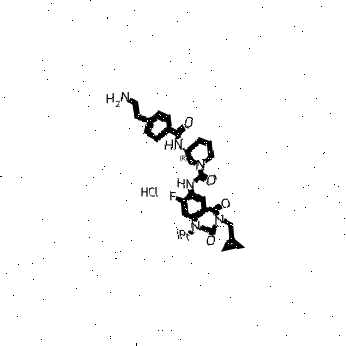 CC(C)n1c(=O)n(CC2CC2)c(=O)c2cc(NC(=O)N3CCC[C@@H](NC(=O)c4ccc(CCN)cc4)C3)c(F)cc21.Cl